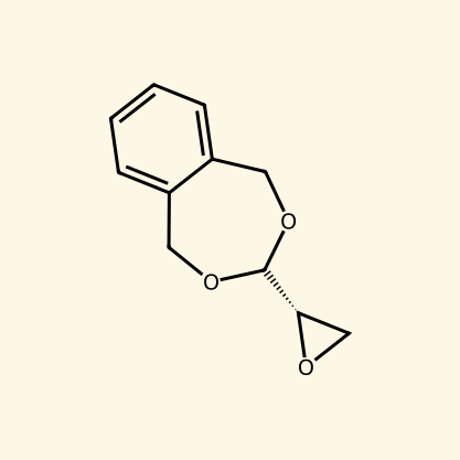 c1ccc2c(c1)COC([C@@H]1CO1)OC2